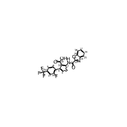 O=C(Nc1scc(-c2ccc(C(F)(F)F)cc2F)c1C(=O)O)c1nc2ccccc2o1